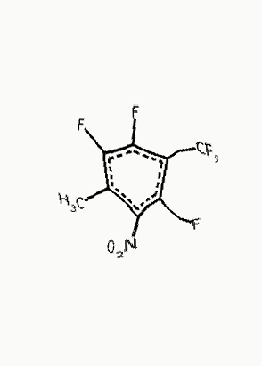 Cc1c(F)c(F)c(C(F)(F)F)c(F)c1[N+](=O)[O-]